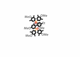 CCc1cc(OC)c(-c2c(OC)cc(OC)cc2P(=O)(c2cc(C)c(OC)c(C)c2)c2cc(C)c(OC)c(C)c2)c(P(=O)(c2cc(C)c(OC)c(C)c2)c2cc(C)c(OC)c(C)c2)c1